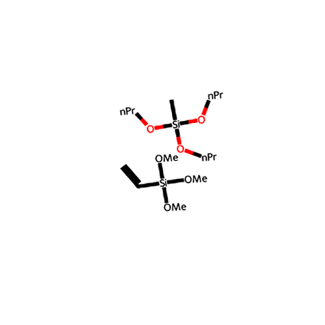 C=C[Si](OC)(OC)OC.CCCO[Si](C)(OCCC)OCCC